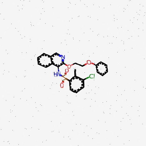 Cc1c(Cl)cccc1S(=O)(=O)Nc1c(OCCOc2ccccc2)ncc2ccccc12